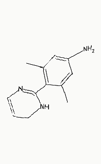 Cc1cc(N)cc(C)c1C1=NC=CCN1